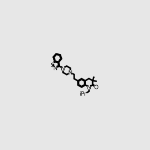 CC(C)CN1C(=O)C(C)(C)Cc2cc(CCN3CCN(c4nsc5ccccc45)CC3)ccc21